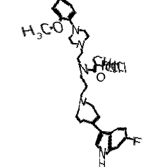 COc1ccccc1N1CCN(CCN(CCCN2CCC(c3c[nH]c4cc(F)ccc34)CC2)C(C)=O)CC1.Cl.Cl.Cl